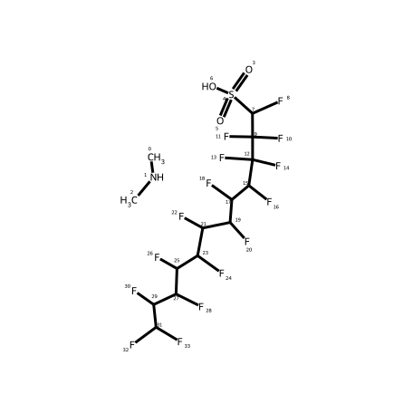 CNC.O=S(=O)(O)C(F)C(F)(F)C(F)(F)C(F)C(F)C(F)C(F)C(F)C(F)C(F)C(F)C(F)F